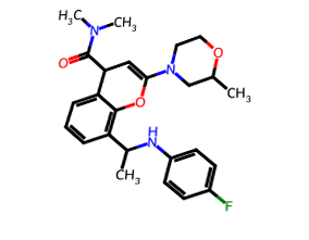 CC1CN(C2=CC(C(=O)N(C)C)c3cccc(C(C)Nc4ccc(F)cc4)c3O2)CCO1